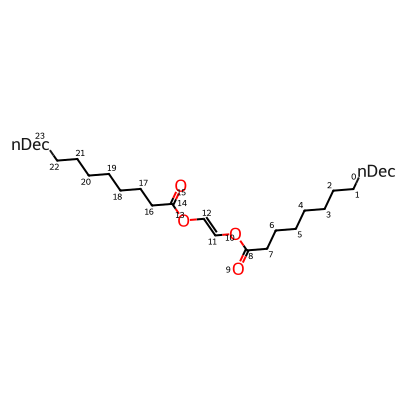 CCCCCCCCCCCCCCCCCC(=O)OC=COC(=O)CCCCCCCCCCCCCCCCC